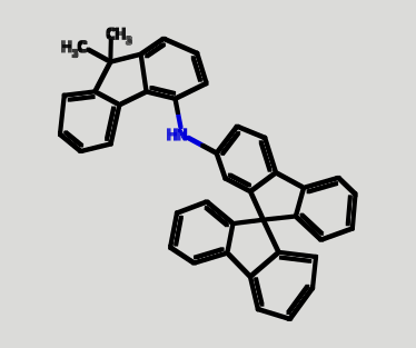 CC1(C)c2ccccc2-c2c(Nc3ccc4c(c3)C3(c5ccccc5-c5ccccc53)c3ccccc3-4)cccc21